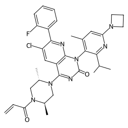 C=CC(=O)N1C[C@H](C)N(c2nc(=O)n(-c3c(C)cc(N4CCC4)nc3C(C)C)c3nc(-c4ccccc4F)c(Cl)cc23)C[C@H]1C